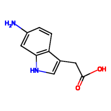 Nc1ccc2c(CC(=O)O)c[nH]c2c1